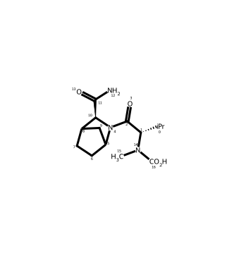 CC(C)[C@@H](C(=O)N1C2CCC(C2)[C@H]1C(N)=O)N(C)C(=O)O